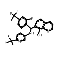 Oc1c(C(Nc2ccc(C(F)(F)F)nc2)c2ccc(C(F)(F)F)cc2F)ccc2cccnc12